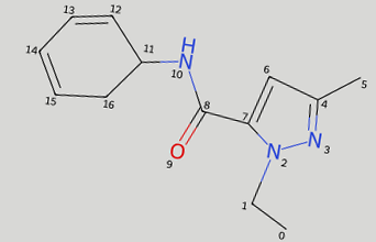 CCn1nc(C)cc1C(=O)NC1C=CC=CC1